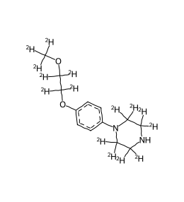 [2H]C([2H])([2H])OC([2H])([2H])C([2H])([2H])Oc1ccc(N2C([2H])([2H])C([2H])([2H])NC([2H])([2H])C2([2H])[2H])cc1